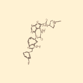 CN1CCC(NC(=O)c2sc3ncnc4c3c2NC(=O)N4c2ccc3nc(Cc4cccc(F)c4)[nH]c3c2)CC1